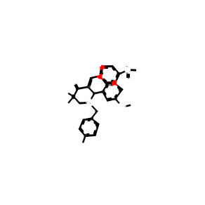 COc1ccc(OC)c(C2/C(=C\c3ccc(S(C)(=O)=O)cc3)C(=O)C(C)(C)CN2Cc2ccc(C)cc2)c1